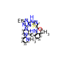 CCc1nc(Nc2ncc(C(=O)Nc3c(C)cccc3C)s2)nc(N2CCN(c3ccccn3)CC2)n1